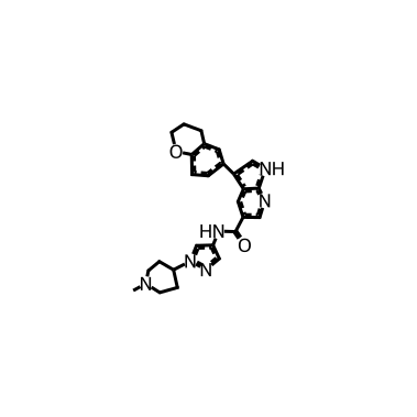 CN1CCC(n2cc(NC(=O)c3cnc4[nH]cc(-c5ccc6c(c5)CCCO6)c4c3)cn2)CC1